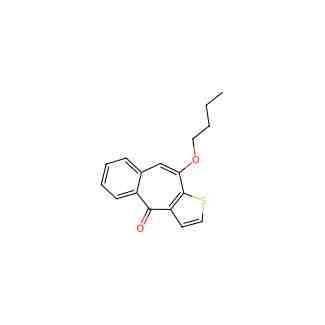 CCCCOc1cc2ccccc2c(=O)c2ccsc12